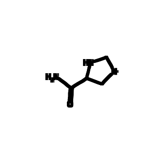 NC(=O)C1C[N]CN1